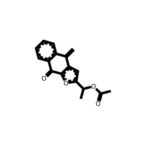 C=C1c2ccccc2C(=O)c2oc(C(C)OC(C)=O)cc21